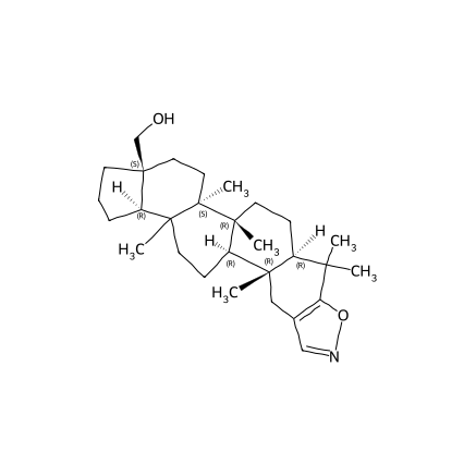 CC1(C)c2oncc2C[C@]2(C)[C@H]3CCC4(C)[C@H]5CCC[C@]5(CO)CC[C@@]4(C)[C@]3(C)CC[C@@H]12